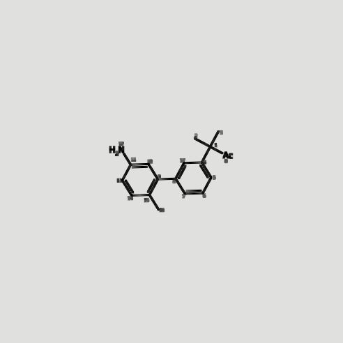 CC(=O)C(C)(C)c1cccc(-c2cc(N)ccc2C)c1